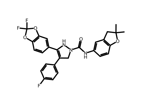 CC1(C)Cc2cc(NC(=O)N3CC(c4ccc(F)cc4)=C(c4ccc5c(c4)OC(F)(F)O5)N3)ccc2O1